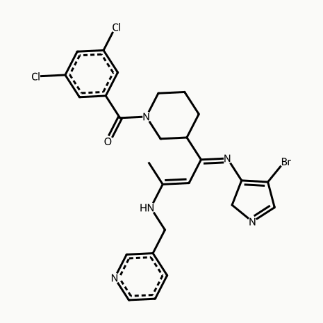 C/C(=C\C(=N/C1=C(Br)C=NC1)C1CCCN(C(=O)c2cc(Cl)cc(Cl)c2)C1)NCc1cccnc1